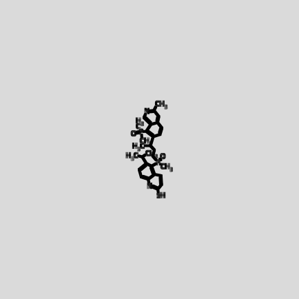 Cc1cc2ccc(C(C)CCP(C)(=O)c3c(C(C)C)ccc4nc(S)ccc34)c(P(C)(C)=O)c2cn1